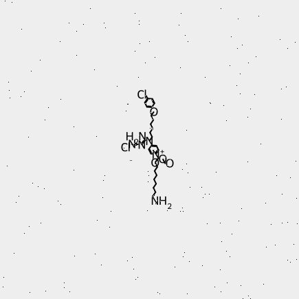 N#CN=C(N)N(CCCCCCOc1ccc(Cl)cc1)c1cc[n+](C(OC=O)OCCCCCCCCN)cc1.[Cl-]